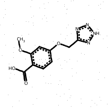 COc1cc(OCc2nn[nH]n2)ccc1C(=O)O